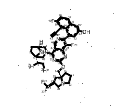 [2H]CC([2H])[C@@]12CC[C@@H](CN(c3nc(OC[C@@]45CCCN4CC(=C(F)F)C5)nc4c(F)c(-c5cc(O)cc6ccc(F)c(C#C)c56)ncc34)C1)N2